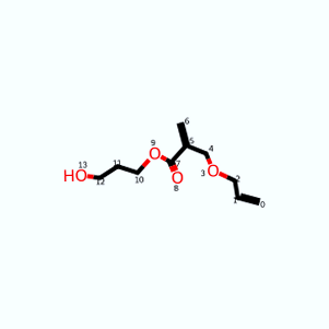 C=CCOCC(=C)C(=O)OCCCO